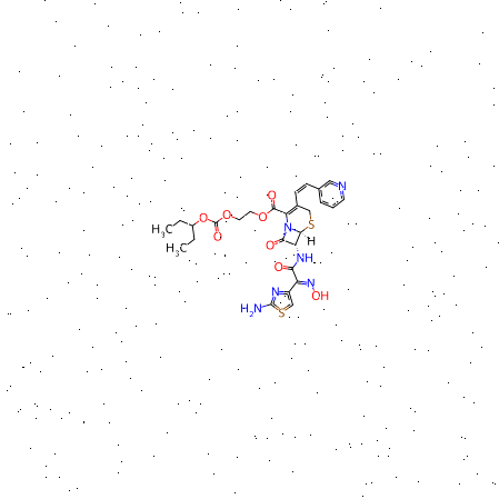 CCC(CC)OC(=O)OCCOC(=O)C1=C(/C=C\c2cccnc2)CS[C@H]2[C@H](NC(=O)C(=NO)c3csc(N)n3)C(=O)N12